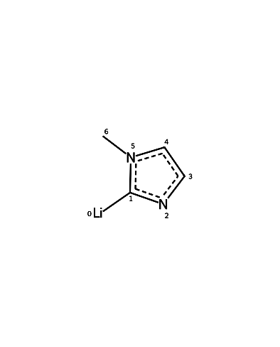 [Li][c]1nccn1C